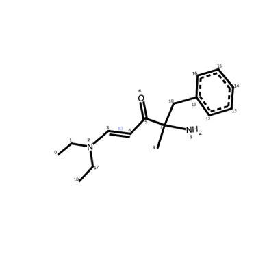 CCN(/C=C/C(=O)C(C)(N)Cc1ccccc1)CC